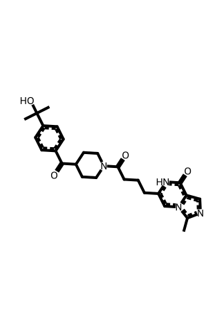 Cc1ncc2c(=O)[nH]c(CCCC(=O)N3CCC(C(=O)c4ccc(C(C)(C)O)cc4)CC3)cn12